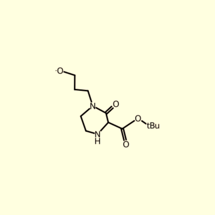 CC(C)(C)OC(=O)C1NCCN(CCC[O])C1=O